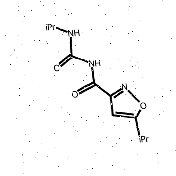 CC(C)NC(=O)NC(=O)c1cc(C(C)C)on1